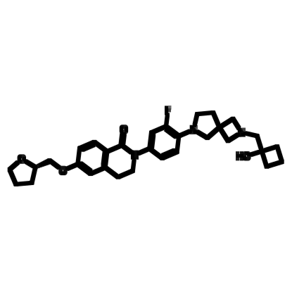 O=C1c2ccc(OC[C@H]3CCCO3)cc2CCN1c1ccc(N2CCC3(CN(CC4(O)CCC4)C3)C2)c(F)c1